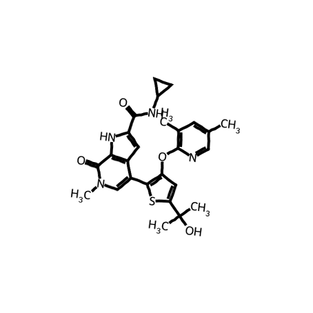 Cc1cnc(Oc2cc(C(C)(C)O)sc2-c2cn(C)c(=O)c3[nH]c(C(=O)NC4CC4)cc23)c(C)c1